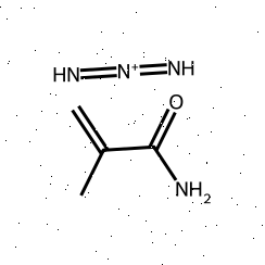 C=C(C)C(N)=O.N=[N+]=N